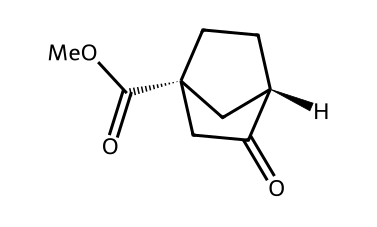 COC(=O)[C@]12CC[C@@H](C1)C(=O)C2